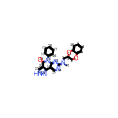 CN(CC1COc2ccccc2O1)c1ncc2c3n[nH]cc3c(=O)n(-c3ccccc3)c2n1